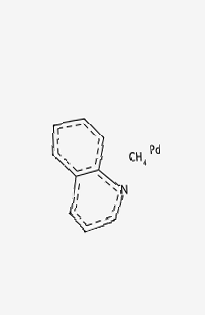 C.[Pd].c1ccc2ncccc2c1